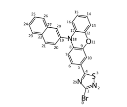 Brc1nsc(-c2ccc3c(c2)Oc2ccccc2N3c2ccc3ccccc3c2)n1